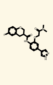 CN(C)C(=O)COc1cc(-c2cn[nH]c2)ccc1NC(=O)C1COc2ccc(F)cc2C1